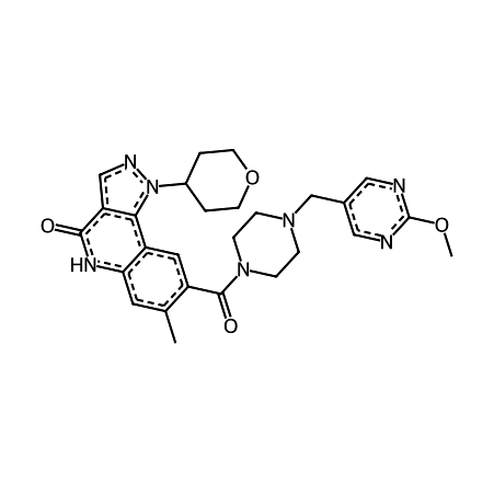 COc1ncc(CN2CCN(C(=O)c3cc4c(cc3C)[nH]c(=O)c3cnn(C5CCOCC5)c34)CC2)cn1